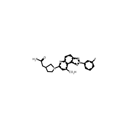 NC(=O)CC1CCN(c2cc(C(=O)O)c3c(ccc4nn(-c5cccc(F)c5)nc43)n2)C1